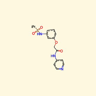 CC(C)S(=O)(=O)Nc1cccc(OCC(=O)Nc2ccncc2)c1